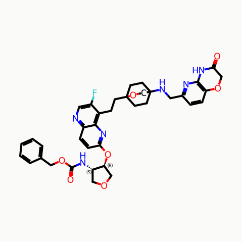 O=C1COc2ccc(CNC34CCC(CCc5c(F)cnc6ccc(O[C@H]7COC[C@@H]7NC(=O)OCc7ccccc7)nc56)(CC3)OC4)nc2N1